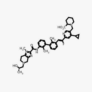 Cc1c(/C=C(\F)c2cc(C3CC3)c(CN3CCCCC3C(=O)O)cn2)cccc1-c1cccc(NC(=O)c2nc3c(n2C)CCN(C[C@@H](C)O)C3)c1C